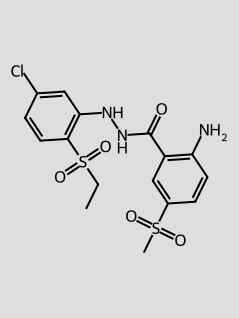 CCS(=O)(=O)c1ccc(Cl)cc1NNC(=O)c1cc(S(C)(=O)=O)ccc1N